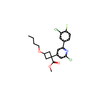 CCCCOC1CC(C(=O)OC)(c2cc(Cl)nc(-c3ccc(F)c(Cl)c3)c2)C1